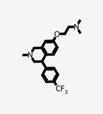 CN(C)CCOc1ccc2c(c1)CN(C)CC2c1ccc(C(F)(F)F)cc1